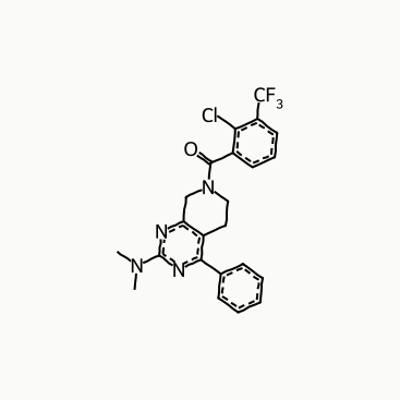 CN(C)c1nc2c(c(-c3ccccc3)n1)CCN(C(=O)c1cccc(C(F)(F)F)c1Cl)C2